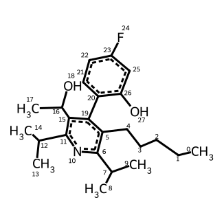 CCCCCc1c(C(C)C)nc(C(C)C)c(C(C)O)c1-c1ccc(F)cc1O